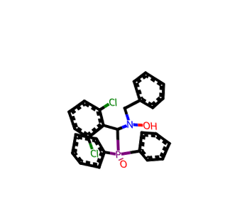 O=P(c1ccccc1)(c1ccccc1)C(c1c(Cl)cccc1Cl)N(O)Cc1ccccc1